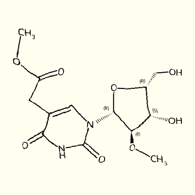 COC(=O)Cc1cn([C@@H]2O[C@H](CO)[C@H](O)[C@H]2OC)c(=O)[nH]c1=O